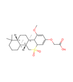 COC1=CC(OCC(=O)O)=CC2C1[C@]1(C)CC[C@H]3C(C)(C)CCC[C@]3(C)[C@H]1CS2(=O)=O